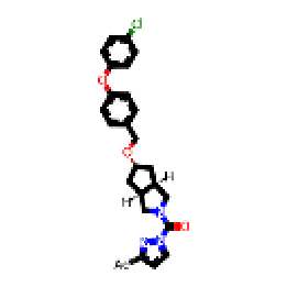 CC(=O)c1ccn(C(=O)N2C[C@H]3C[C@H](OCc4ccc(Oc5ccc(Cl)cc5)cc4)C[C@H]3C2)n1